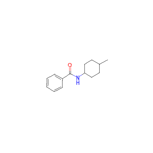 CC1CCC(NC(=O)c2ccccc2)CC1